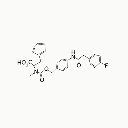 CN(C(=O)OCc1ccc(NC(=O)Cc2ccc(F)cc2)cc1)C(Cc1ccccc1)C(=O)O